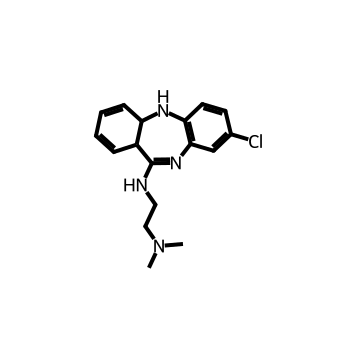 CN(C)CCNC1=Nc2cc(Cl)ccc2NC2C=CC=CC12